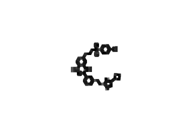 O=C(Nc1cc(CCCS(=O)(=O)c2ccc(Cl)cc2)ccc1O)c1cccc(CCc2nc(C3CCC3)cs2)c1